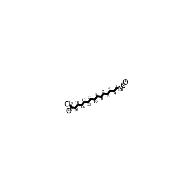 O=C=NCCCCCCCCCCCCCCC(=O)Cl